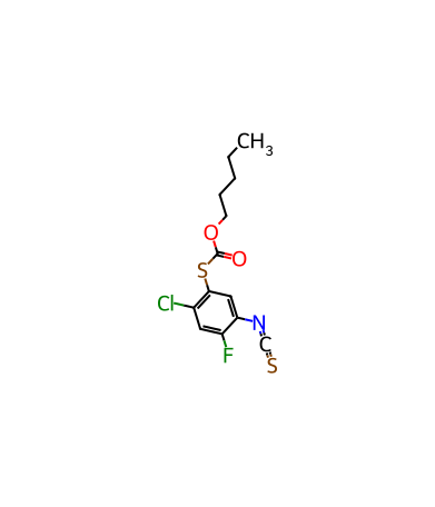 CCCCCOC(=O)Sc1cc(N=C=S)c(F)cc1Cl